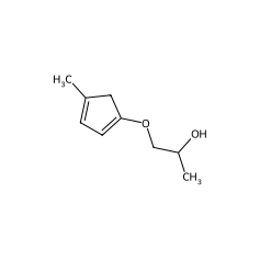 CC1=CC=C(OCC(C)O)C1